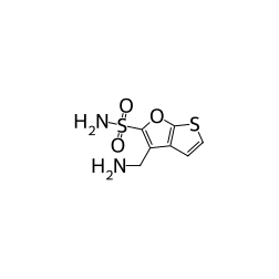 NCc1c(S(N)(=O)=O)oc2sccc12